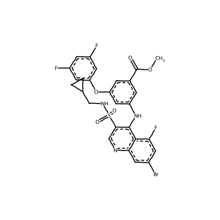 COC(=O)c1cc(Nc2c(S(=O)(=O)NCC3CC3)cnc3cc(Br)cc(F)c23)cc(Oc2cc(F)cc(F)c2)c1